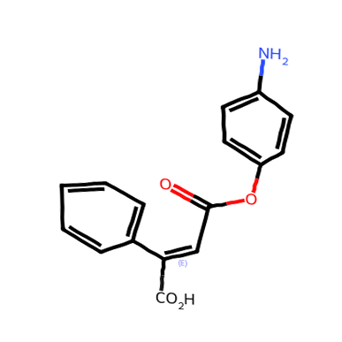 Nc1ccc(OC(=O)/C=C(/C(=O)O)c2ccccc2)cc1